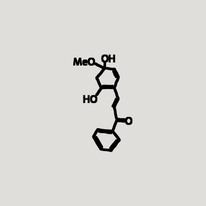 COC1(O)C=CC(C=CC(=O)c2ccccc2)=C(O)C1